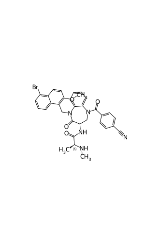 CN[C@@H](C)C(=O)NC1CN(C(=O)c2ccc(C#N)cc2)c2ccccc2N(Cc2c(OC)ccc3c(Br)cccc23)C1=O